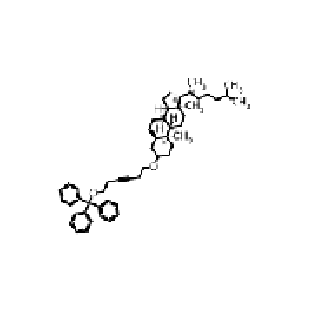 CC(C)CCC[C@@H](C)[C@H]1CC[C@H]2[C@@H]3CC=C4CC(OCCC#CCCOC(c5ccccc5)(c5ccccc5)c5ccccc5)CC[C@]4(C)[C@H]3CC[C@]12C